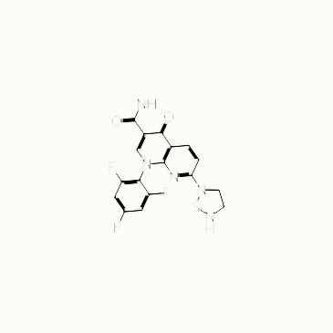 NC(=O)c1cn(-c2c(F)cc(F)cc2F)c2nc(N3CCNS3)ccc2c1=O